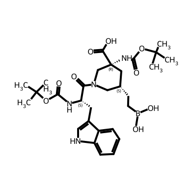 CC(C)(C)OC(=O)N[C@@H](Cc1c[nH]c2ccccc12)C(=O)N1C[C@@H](CCB(O)O)C[C@](NC(=O)OC(C)(C)C)(C(=O)O)C1